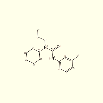 CCCN(C(=O)Nc1cccc(C)c1)C1CCCCC1